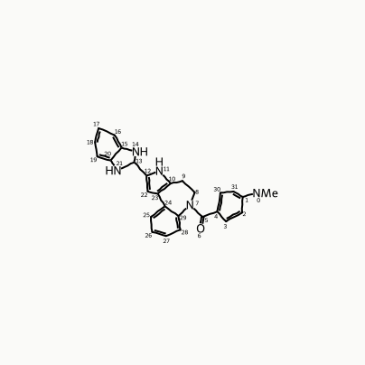 CNc1ccc(C(=O)N2CCc3[nH]c(C4Nc5ccccc5N4)cc3-c3ccccc32)cc1